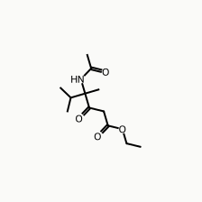 CCOC(=O)CC(=O)C(C)(NC(C)=O)C(C)C